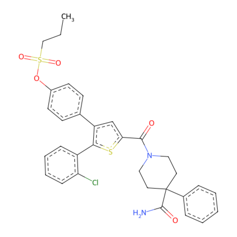 CCCS(=O)(=O)Oc1ccc(-c2cc(C(=O)N3CCC(C(N)=O)(c4ccccc4)CC3)sc2-c2ccccc2Cl)cc1